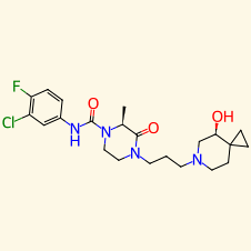 C[C@H]1C(=O)N(CCCN2CCC3(CC3)[C@H](O)C2)CCN1C(=O)Nc1ccc(F)c(Cl)c1